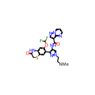 CNCCn1cc(NC(=O)c2cnn3cccnc23)c(-c2cc3c(cc2OC(F)F)NC(=O)CS3)n1